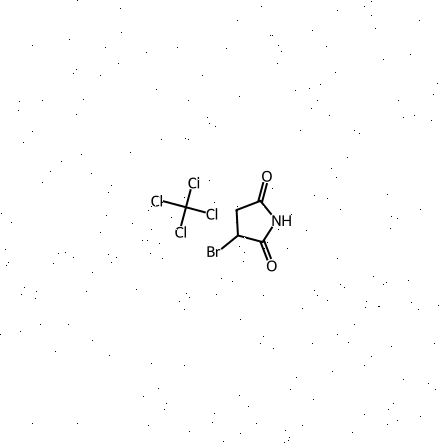 ClC(Cl)(Cl)Cl.O=C1CC(Br)C(=O)N1